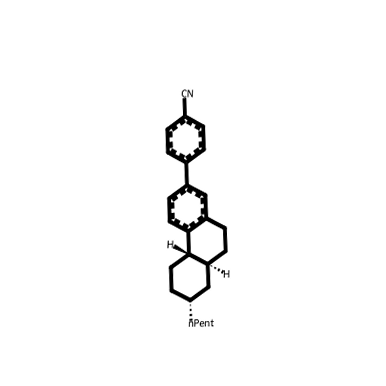 CCCCC[C@@H]1CC[C@@H]2c3ccc(-c4ccc(C#N)cc4)cc3CC[C@H]2C1